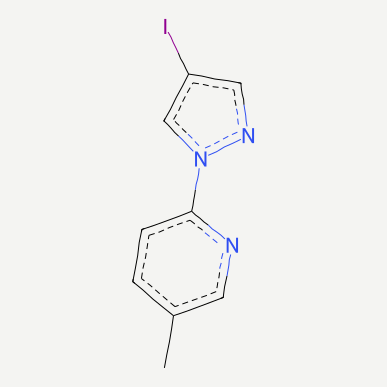 Cc1ccc(-n2cc(I)cn2)nc1